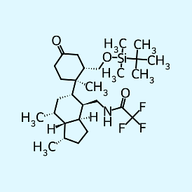 C[C@@H]1C[C@H]([C@@]2(C)CCC(=O)C[C@@H]2CO[Si](C)(C)C(C)(C)C)[C@@H](CNC(=O)C(F)(F)F)[C@H]2CC[C@H](C)[C@@H]21